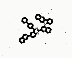 c1ccc(-c2ccc(-c3nc(-c4cc(-n5c6ccccc6c6cc7ccccc7cc65)c5ccccc5c4)nc4ccc(-c5ccc6ccccc6c5)cc34)cc2)cc1